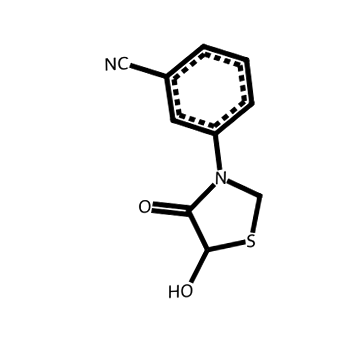 N#Cc1cccc(N2CSC(O)C2=O)c1